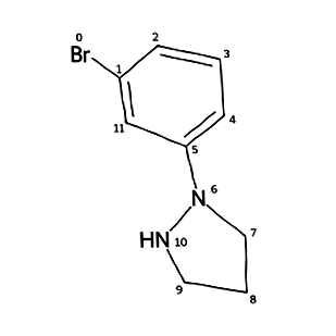 Brc1cccc(N2CCCN2)c1